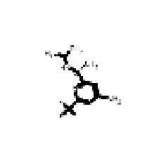 CC(C)N[C@H](C)c1cc(N)cc(C(F)(F)F)n1